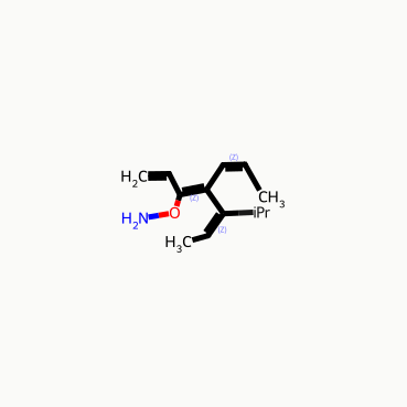 C=C/C(ON)=C(\C=C/C)C(=C\C)/C(C)C